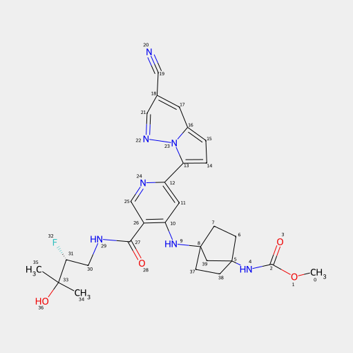 COC(=O)NC12CCC(Nc3cc(-c4ccc5cc(C#N)cnn45)ncc3C(=O)NC[C@@H](F)C(C)(C)O)(CC1)C2